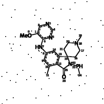 COc1cncnc1Nc1cc(C)c2c(c1)C1(CCN(C)CC1)N(PC)C2=O